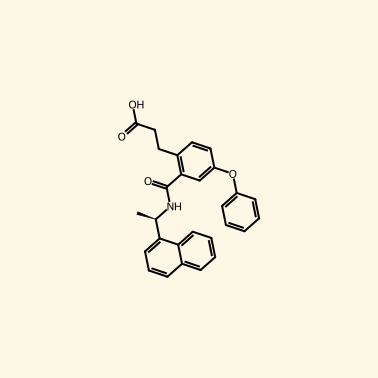 C[C@@H](NC(=O)c1cc(Oc2ccccc2)ccc1CCC(=O)O)c1cccc2ccccc12